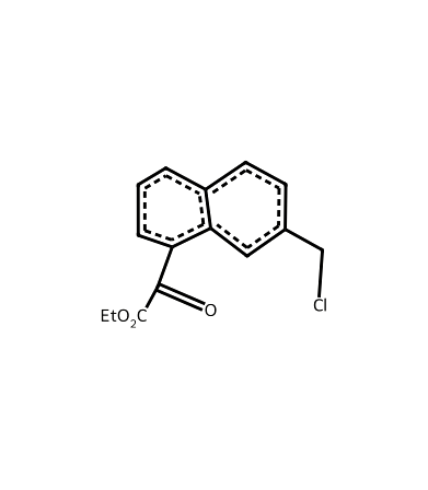 CCOC(=O)C(=O)c1cccc2ccc(CCl)cc12